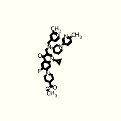 COC(=O)C1CCN(c2cc3c(cc2F)c(=O)c(CN(Cc2ccnc(C)c2)[C@H]2CCCN(c4ccc(C)nc4)C2)cn3C2CC2)CC1